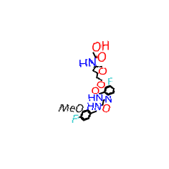 COc1cc(CNC(=O)c2nc3ccc(F)c(OCCC4CC(NC(=O)CO)CO4)c3c(=O)[nH]2)ccc1F